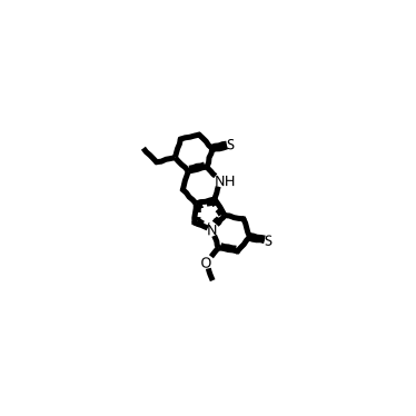 CCC1CCC(=S)C2=C1Cc1cn3c(c1N2)CC(=S)C=C3OC